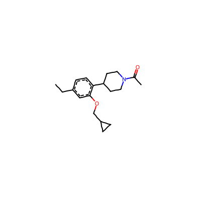 CCc1ccc(C2CCN(C(C)=O)CC2)c(OCC2CC2)c1